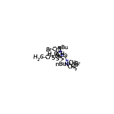 C=Cc1ccc(CSc2nnc(SC3=C(/C=C/C(=N\CCCC)C(C)(C)c4cccc(Br)c4)CCC/C3=C\C=C3\N(CCCC)c4ccc(Br)cc4C3(C)C)s2)cc1